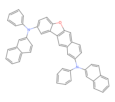 c1ccc(N(c2ccc3ccccc3c2)c2ccc3cc4oc5ccc(N(c6ccccc6)c6ccc7ccccc7c6)cc5c4cc3c2)cc1